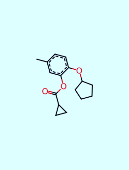 Cc1ccc(OC2CCCC2)c(OC(=O)C2CC2)c1